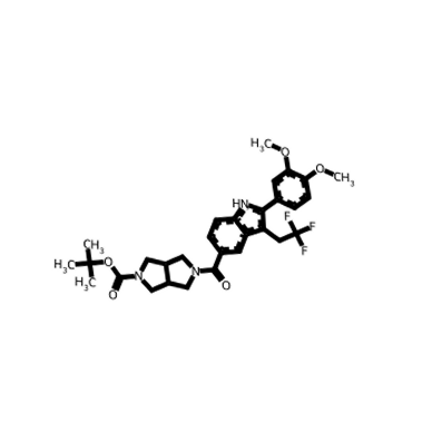 COc1ccc(-c2[nH]c3ccc(C(=O)N4CC5CN(C(=O)OC(C)(C)C)CC5C4)cc3c2CC(F)(F)F)cc1OC